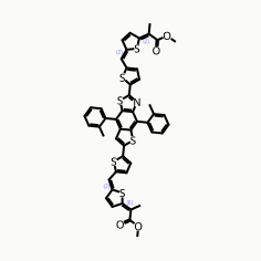 COC(=O)/C(C)=c1/cc/c(=C/c2ccc(-c3nc4c(-c5ccccc5C)c5sc(-c6ccc(/C=c7/cc/c(=C(/C)C(=O)OC)s7)s6)cc5c(-c5ccccc5C)c4s3)s2)s1